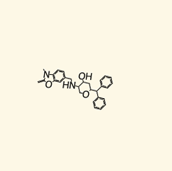 C=C1Oc2cc(CNC3COC(C(c4ccccc4)c4ccccc4)CC3O)ccc2N1C